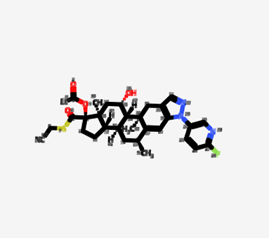 CCC(=O)O[C@]1(C(=O)SCC#N)CC[C@H]2[C@@H]3C[C@H](C)C4=Cc5c(cnn5-c5ccc(F)nc5)C[C@]4(C)[C@H]3[C@@H](O)C[C@@]21C